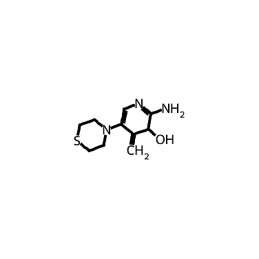 C=C1C(N2CCSCC2)=CN=C(N)C1O